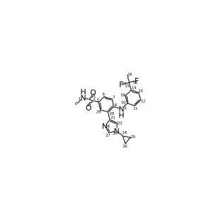 CNS(=O)(=O)c1ccc(Nc2cccc(C(C)(F)F)c2)c(-c2cn(C3CC3)cn2)c1